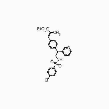 CCOC(=O)C(C)=Cc1ccc(C(CNS(=O)(=O)c2ccc(Cl)cc2)c2cccnc2)cc1